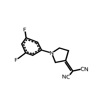 N#CC(C#N)=C1CCN(c2cc(F)cc(F)c2)C1